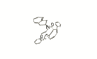 Cc1cccc(-c2ccccc2)c1C(=O)N(CCc1ccccc1)C1Cc2ccccc2C1